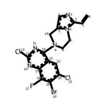 C=Cc1ncc2n1CCN(c1nc(Cl)nc3c(F)c(Br)c(Cl)cc13)C2